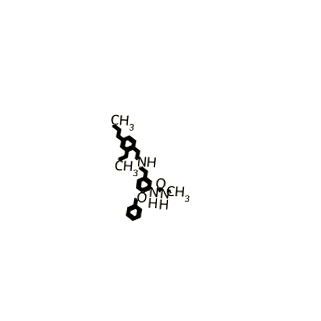 CCCCc1ccc(CCNCCc2ccc(OCc3ccccc3)c(NC(=O)NC)c2)c(CCC)c1